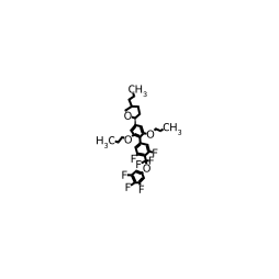 CCCOc1cc([C@@H]2CCC(CCC)CO2)cc(OCCC)c1-c1cc(F)c(C(F)(F)Oc2cc(F)c(F)c(F)c2)c(F)c1